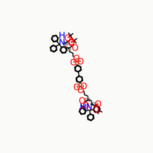 CC(C)(C)OC(=O)[C@@H](CCCOS(=O)(=O)c1ccc(-c2ccc(S(=O)(=O)OCCC[C@@H](C[C@H](NC(c3ccccc3)(c3ccccc3)c3ccccc3)C(=O)OC(C)(C)C)C(=O)OC(C)(C)C)cc2)cc1)C[C@H](NC(c1ccccc1)(c1ccccc1)c1ccccc1)C(=O)OC(C)(C)C